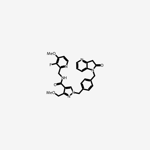 COCc1nn(Cc2ccc(CN3C(=O)Cc4ncccc43)cc2)cc1C(=O)NCc1nccc(OC)c1F